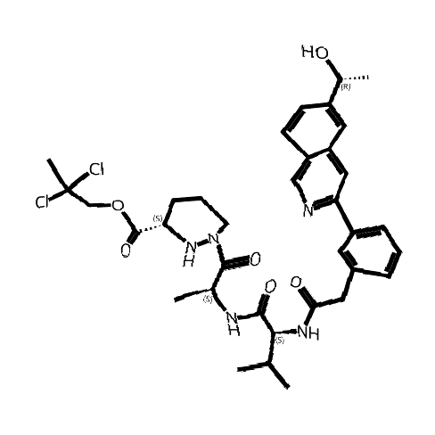 CC(C)[C@H](NC(=O)Cc1cccc(-c2cc3cc([C@@H](C)O)ccc3cn2)c1)C(=O)N[C@@H](C)C(=O)N1CCC[C@@H](C(=O)OCC(C)(Cl)Cl)N1